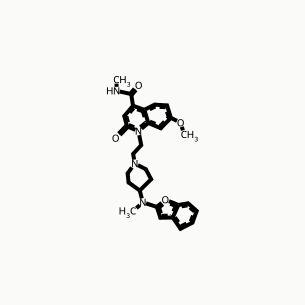 CNC(=O)c1cc(=O)n(CCN2CCC(N(C)c3cc4ccccc4o3)CC2)c2cc(OC)ccc12